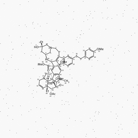 CC[C@]1(O)C[C@H]2CN(CCC3=C(Cc4ccc(SCc5ccc(OC)cc5)cc43)[C@@](C(=O)OC)(c3cc4c(cc3OC)N(C)[C@@]35O[C@]3(C(=O)OC)[C@H](OC(C)=O)[C@]3(CC)C=CCN6CC[C@]45[C@@H]63)C2)C1